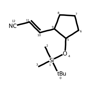 CC(C)(C)[Si](C)(C)OC1CCCC1C=CC#N